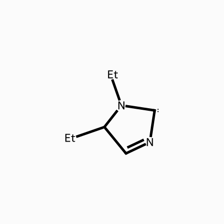 CCC1C=N[C]N1CC